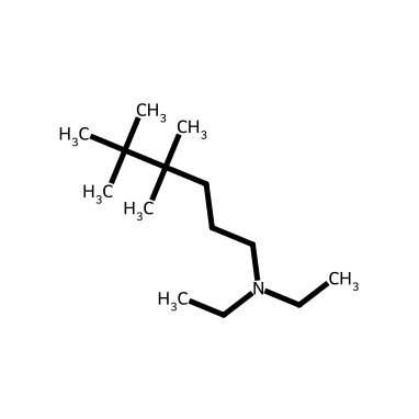 CCN(CC)CCCC(C)(C)C(C)(C)C